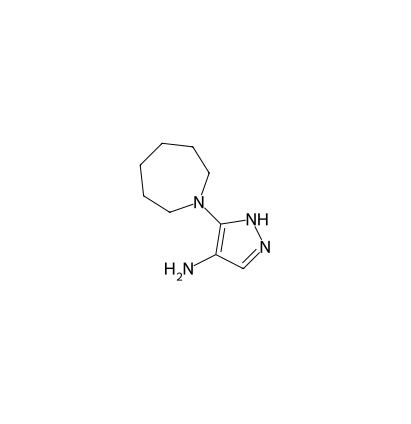 Nc1cn[nH]c1N1CCCCCC1